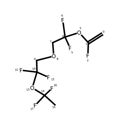 C=C(F)OC(F)(F)COCC(F)(F)OC(C)(F)F